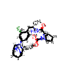 CN1C2CCC1CN(c1ccc(C[C@@H](C#N)NC(=O)C3C4CCC(C4)N3C(=O)OC(C)(C)C)c(F)c1)C2